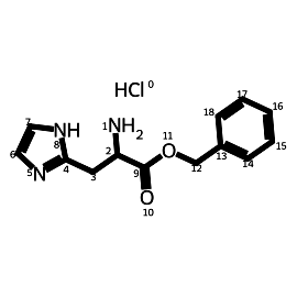 Cl.NC(Cc1ncc[nH]1)C(=O)OCc1ccccc1